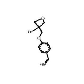 CCC1(COc2ccc(C=N)cc2)COC1